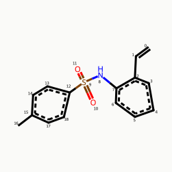 C=Cc1ccccc1NS(=O)(=O)c1ccc(C)cc1